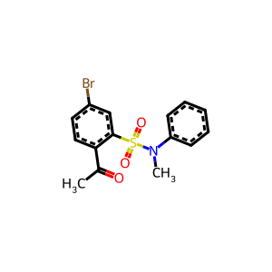 CC(=O)c1ccc(Br)cc1S(=O)(=O)N(C)c1ccccc1